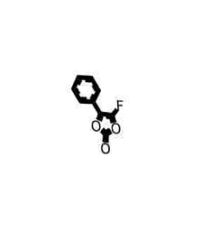 O=c1oc(F)c(-c2ccccc2)o1